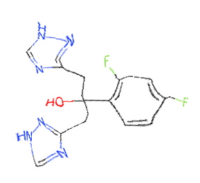 OC(Cc1nc[nH]n1)(Cc1nc[nH]n1)c1ccc(F)cc1F